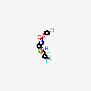 O=C(Cc1cccc(C(F)(F)F)c1F)Nc1c(Cl)ccc2c1CCN(C(=O)COc1ccc(Cl)cc1)C2